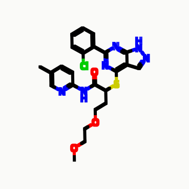 COCCOCCC(Sc1nc(-c2ccccc2Cl)nc2[nH]ncc12)C(=O)Nc1ccc(C)cn1